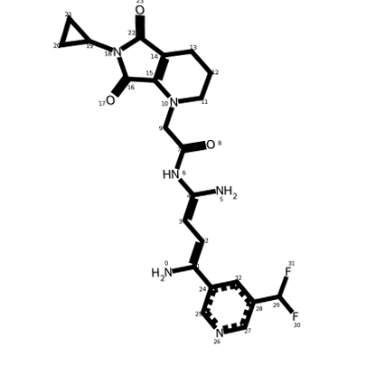 N/C(=C\C=C(/N)NC(=O)CN1CCCC2=C1C(=O)N(C1CC1)C2=O)c1cncc(C(F)F)c1